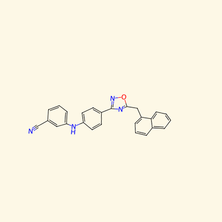 N#Cc1cccc(Nc2ccc(-c3noc(Cc4cccc5ccccc45)n3)cc2)c1